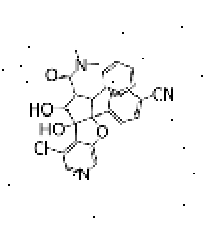 CN(C)C(=O)C1C(O)C2(O)c3c(Cl)cncc3OC2(c2ccc(C#N)cc2)C1c1ccccc1